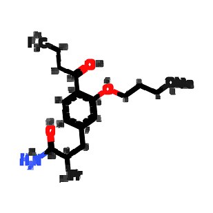 COCCCOc1cc(CC(C(N)=O)C(C)C)ccc1C(=O)CCC(F)(F)F